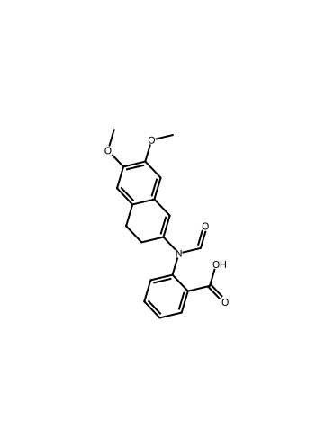 COc1cc2c(cc1OC)CCC(N(C=O)c1ccccc1C(=O)O)=C2